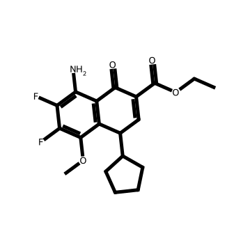 CCOC(=O)C1=CC(C2CCCC2)c2c(OC)c(F)c(F)c(N)c2C1=O